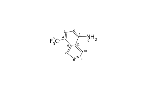 Nc1ccc(C(F)(F)F)c2ccccc12